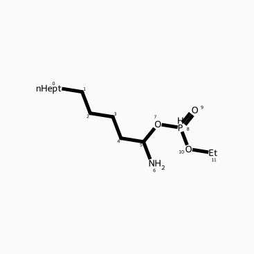 CCCCCCCCCCCC(N)O[PH](=O)OCC